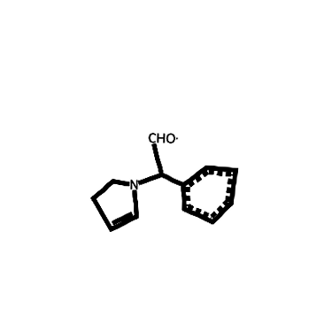 O=[C]C(c1ccccc1)N1C=CCC1